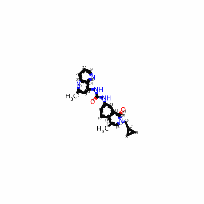 Cc1cc(NC(=O)Nc2ccc3c(C)cn(CC4CC4)c(=O)c3c2)c2ncccc2n1